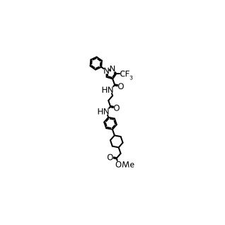 COC(=O)CC1CCC(c2ccc(NC(=O)CCNC(=O)c3cn(-c4ccccc4)nc3C(F)(F)F)cc2)CC1